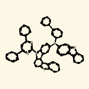 c1ccc(-c2cccc(N(c3ccc4c(c3)oc3ccccc34)c3ccc4c(c3)c3c5c(ccc3n4-c3nc(-c4ccccc4)cc(-c4ccccc4)n3)sc3ccccc35)c2)cc1